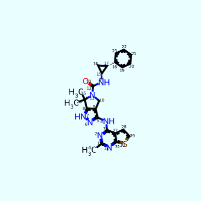 Cc1nc(Nc2n[nH]c3c2CN(C(=O)N[C@H]2C[C@@H]2c2ccccc2)C3(C)C)c2ccsc2n1